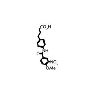 COc1ccc(C(=O)Nc2ccc(CCCC(=O)O)cc2)cc1[N+](=O)[O-]